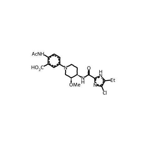 CCc1[nH]c(C(=O)N[C@@H]2CCN(c3ccc(NC(C)=O)c(C(=O)O)c3)C[C@@H]2OC)nc1Cl